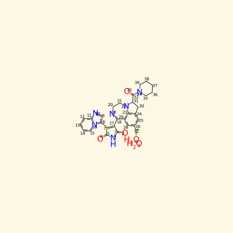 O.O.O=C1NC(=O)C(c2cnc3ccccn23)=C1C1=NCCN2c3c(cc(F)cc31)CC2C(=O)N1CCCCC1